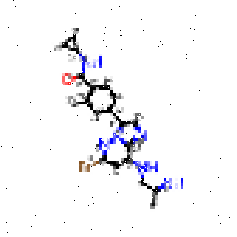 CC(=N)CNc1cc(Br)nn2c(-c3ccc(C(=O)NC4CC4)c(C)c3)cnc12